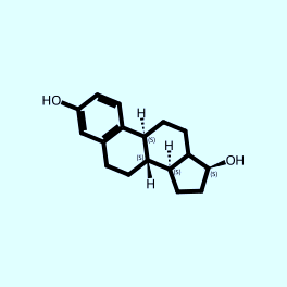 Oc1ccc2c(c1)CC[C@@H]1[C@@H]2CCC2[C@H]1CC[C@@H]2O